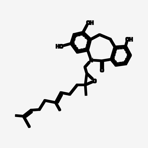 CC(C)=CCC/C(C)=C/CCC1(C)OC1CN1C(=O)c2cccc(O)c2CCc2c(O)cc(O)cc21